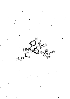 CC(C)OP(=O)(F)OC(C)C.N=C(N)c1ccc(N)cc1.NC(=O)CI.O=S(=O)(F)Cc1ccccc1